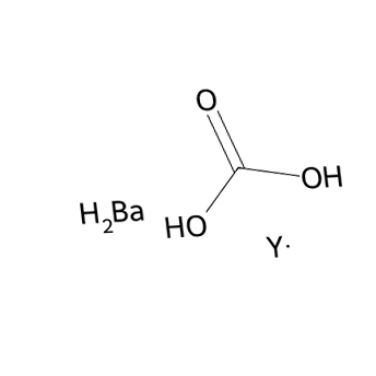 O=C(O)O.[BaH2].[Y]